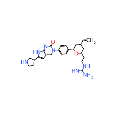 C=C[C@H]1C[C@@H](CCNC(=N)N)O[C@H](c2ccc(-n3cc4cc(C5CCNC5)[nH]c4nc3=O)cc2)C1